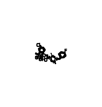 CC(c1cc(Cl)ccc1OCC(=O)N1C[C@H](C)N(Cc2ccc(F)cc2)C[C@H]1C)S(=O)(=O)O